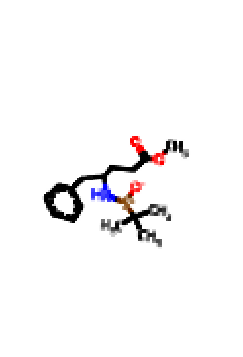 COC(=O)CC[C@H](Cc1ccccc1)N[S+]([O-])C(C)(C)C